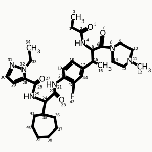 CCC(=O)NC(C(=O)N1CCN(C)CC1)C(C)c1ccc(NC(=O)C(NC(=O)c2ccnn2CC)C2CCCCCC2)c(F)c1